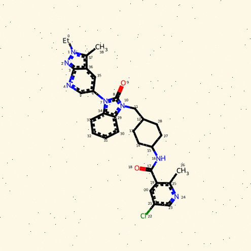 CCn1nc2ncc(-n3c(=O)n(CC4CCC(NC(=O)c5cc(Cl)cnc5C)CC4)c4ccccc43)cc2c1C